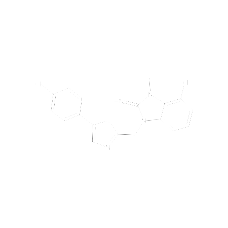 Cn1c(=N)n(Cc2ncc(-c3ccc(Cl)cc3)o2)c2cccc(Cl)c21